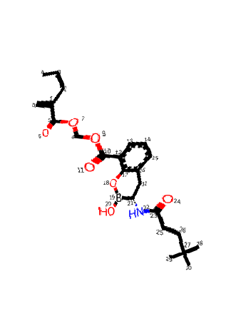 C=C(/C=C\C)C(=O)OCOC(=O)c1cccc2c1OB(O)[C@@H](NC(=O)CCC(C)(C)C)C2